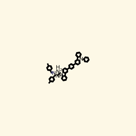 Cc1ccc(/C=N/C(NC(N)n2c3ccccc3c3cc(-c4ccc(-c5ccc6c(c5)c5ccccc5n6-c5ccccc5)cc4)ccc32)c2ccc(C)cc2)cc1